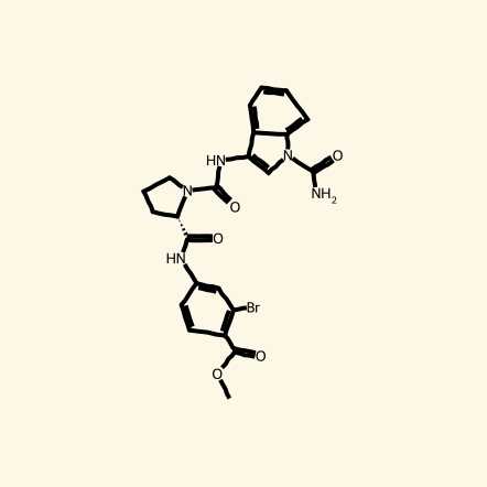 COC(=O)c1ccc(NC(=O)[C@@H]2CCCN2C(=O)Nc2cn(C(N)=O)c3ccccc23)cc1Br